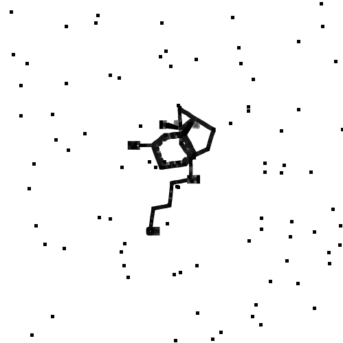 N#Cc1cccc([C@@]23CCC(NCCCO)C[C@@H]2C3)c1